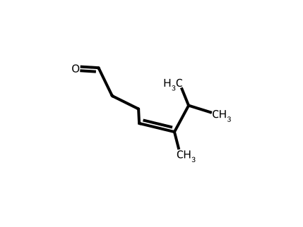 CC(=CCCC=O)C(C)C